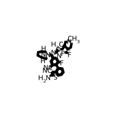 CN1CC[C@H](C(F)F)[C@](C)(COc2nc(N3C[C@H]4CC[C@@H](C3)N4)c3cc(C#N)c(-c4cccc5sc(N)c(C#N)c45)c(F)c3n2)C1